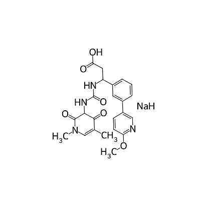 COc1ccc(-c2cccc(C(CC(=O)O)NC(=O)NC3C(=O)C(C)=CN(C)C3=O)c2)cn1.[NaH]